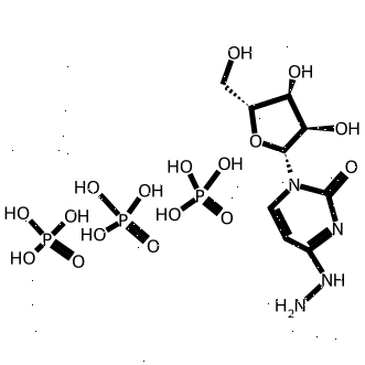 NNc1ccn([C@@H]2O[C@H](CO)[C@@H](O)[C@H]2O)c(=O)n1.O=P(O)(O)O.O=P(O)(O)O.O=P(O)(O)O